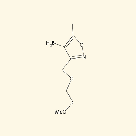 Bc1c(COCCOC)noc1C